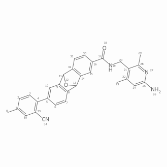 Cc1ccc(-c2ccc3c(c2)C2OC3c3cc(C(=O)NCc4c(C)cc(N)nc4C)ccc32)c(C#N)c1